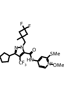 CO[n+]1ccc(NC(=O)c2c(C(F)(F)F)c(C3CCCC3)nn2CC2(C)CC(F)(F)C2)cc1SC